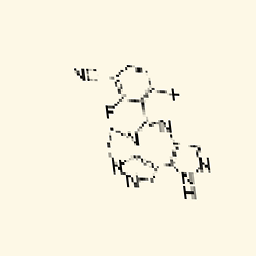 N#Cc1ccc(F)c(C2=Nc3cn[nH]c3-c3cnn4c3N2CC4)c1F